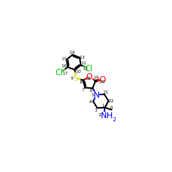 CC1(N)CCN(C2C=C(Sc3c(Cl)cccc3Cl)OC2=O)CC1